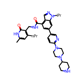 CCCc1cc(C)[nH]c(=O)c1CNC(=O)c1cc(-c2ccc(N3CCN(C4CCNCC4)CC3)nc2)cc2c1cnn2C(C)C